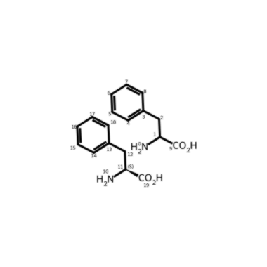 NC(Cc1ccccc1)C(=O)O.N[C@@H](Cc1ccccc1)C(=O)O